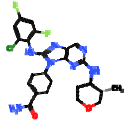 C[C@@H]1COCC[C@H]1Nc1ncc2nc(Nc3c(F)cc(F)cc3Cl)n(C3CCC(C(N)=O)CC3)c2n1